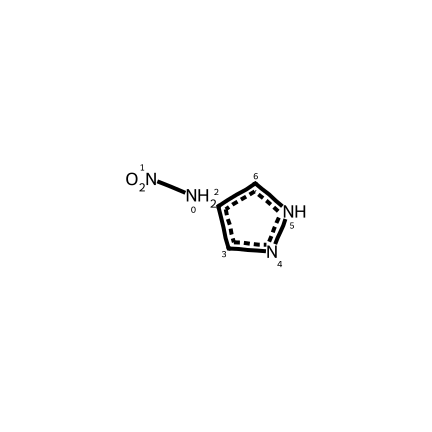 N[N+](=O)[O-].c1cn[nH]c1